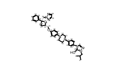 CC(C)CN1N=CN(c2ccc(N3CCN(c4ccc(OC[C@@H]5CO[C@@](Cn6nccn6)(c6ccccc6)O5)cc4)CC3)cc2)C1O